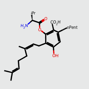 CCCCCc1cc(O)c(CC=C(C)CCC=C(C)C)c(OC(=O)[C@@H](N)C(C)C)c1C(=O)O